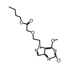 CCCCOC(=O)COCCn1ncc2nc(Cl)nc(OC)c21